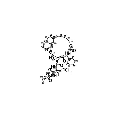 CC[C@@H]1C[C@]1(NC(=O)C1C[C@@H]2CC1C(=O)[C@H](C1CCCCC1)NC(=O)OCCCCCc1ccc3ccnc(c3c1)O2)C(=O)NS(=O)(=O)C1CC1